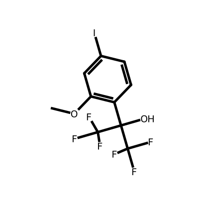 COc1cc(I)ccc1C(O)(C(F)(F)F)C(F)(F)F